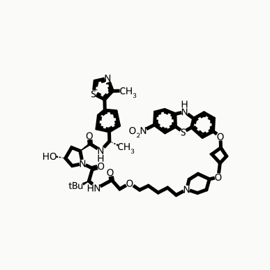 Cc1ncsc1-c1ccc([C@H](C)NC(=O)[C@@H]2C[C@@H](O)CN2C(=O)[C@@H](NC(=O)COCCCCCN2CCC(OC3CC(Oc4ccc5c(c4)Sc4cc([N+](=O)[O-])ccc4N5)C3)CC2)C(C)(C)C)cc1